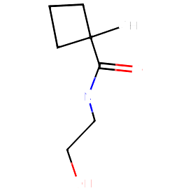 CC1(C(=O)NCCO)CCC1